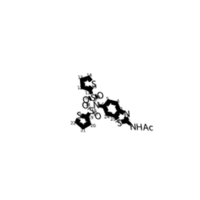 CC(=O)Nc1nc2ccc(N(S(=O)(=O)c3cccs3)S(=O)(=O)c3cccs3)cc2s1